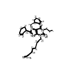 CCCn1c(=O)c2c(nc(C3CCCC3)n2Cc2ccccc2)n(CCCCCC#N)c1=O